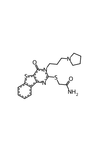 NC(=O)CSc1nc2c(sc3ccccc32)c(=O)n1CCCN1CCCC1